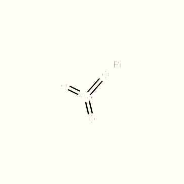 [Bi].[O]=[Co](=[O])=[O]